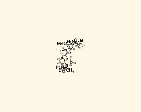 COc1cc(C(=O)N2C3CC[C@@H]2C[C@H](N)C3)cc2nc(-c3cc4ccc(N(C(F)F)S(C)(=O)=O)nc4n3CC3CC3)c(C)n12